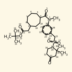 CN(C(=O)C1CCCCC(CC(=O)OC(C)(C)C)CC1)c1cccc(CS(=O)(=O)N2CCC(=O)CC2(C)C)c1